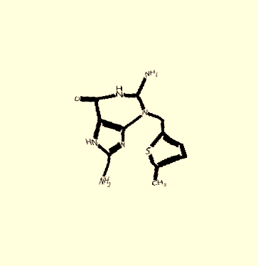 Cc1ccc(CN2c3nc(N)[nH]c3C(=O)NC2N)s1